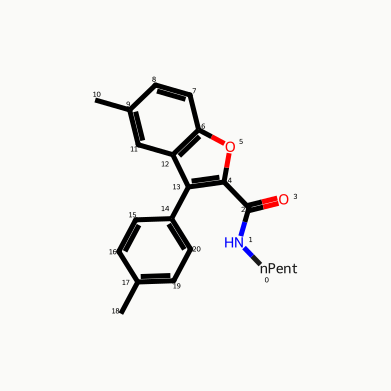 CCCCCNC(=O)c1oc2ccc(C)cc2c1-c1ccc(C)cc1